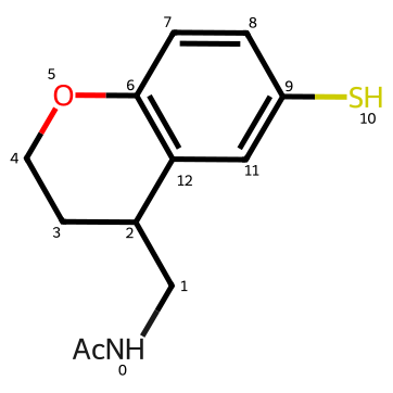 CC(=O)NCC1CCOc2ccc(S)cc21